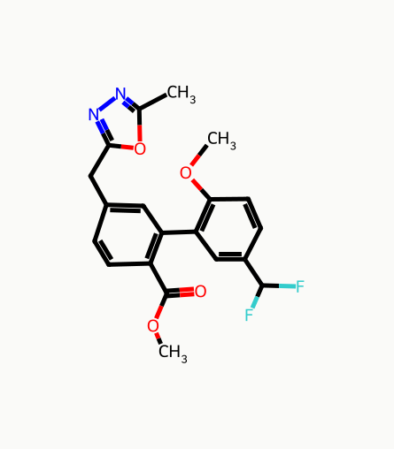 COC(=O)c1ccc(Cc2nnc(C)o2)cc1-c1cc(C(F)F)ccc1OC